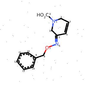 O=C(O)N1CC=C/C(=N/OCc2ccccc2)C1